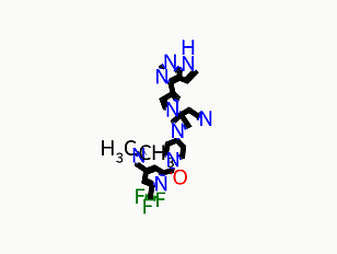 CN(C)Cc1cc(C(=O)N2CCC(N3CC(CC#N)(n4ccc(-c5ncnc6[nH]ccc56)c4)C3)CC2)nc(C(F)(F)F)c1